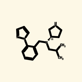 CC(C)CN(Cc1ccccc1-n1cccn1)[C@H]1CCNC1